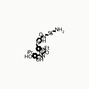 CCNC(=O)c1nnc(-c2cc(C(C)C)c(O)cc2O)n1-c1ccc(CN2CCC(C(=O)NCCSSCCN)CC2)cc1